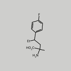 CCC(CC(C)(N)C(=O)O)c1ccc(F)cc1